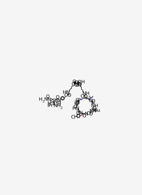 C/C=C(\C)[C@H]1OC(=O)[C@@H](C)NC(=O)[C@H]([C@H](C)CC)NC(=O)CN(C)C(=O)[C@@H](Cc2ccc(Cl)cc2)N(C)C(=O)[C@H](C)NC(=O)[C@@H](CC(C)C)OC(=O)/C(C)=C/C[C@H](OC(=O)NCCCCCOP(=O)(O)OP(=O)(O)OCCCCCNC(=O)OCc2ccc(NC(=O)[C@@H](CCCNC(N)=O)NC(=O)[C@H](N)C(C)C)cc2)[C@@H]1C